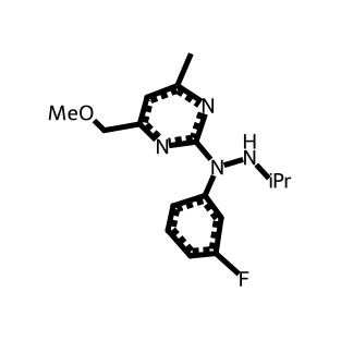 COCc1cc(C)nc(N(NC(C)C)c2cccc(F)c2)n1